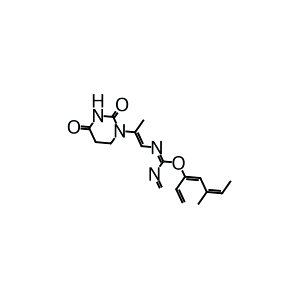 C=C/C(=C\C(C)=C/C)O/C(N=C)=N/C=C(\C)N1CCC(=O)NC1=O